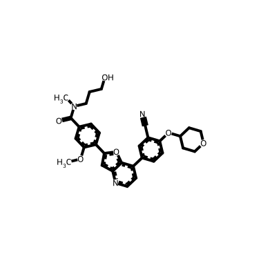 COc1cc(C(=O)N(C)CCCO)ccc1-c1cc2nccc(-c3ccc(OC4CCOCC4)c(C#N)c3)c2o1